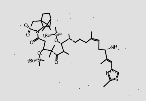 C/C(=C/C[C@H](N)/C(C)=C/c1csc(C)n1)CCCC(C)[C@H](O[Si](C)(C)C(C)(C)C)C(C)C(=O)C(C)(C)C(CC(=O)N1C2CC3CCC2(CS1(=O)=O)C3(C)C)O[Si](C)(C)C(C)(C)C